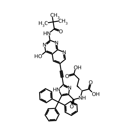 CC(C)(C)C(=O)Nc1nc(O)c2cc(C#Cc3nc(C(=O)N[C@@H](CCC(=O)O)C(=O)O)c(C(c4ccccc4)(c4ccccc4)c4ccccc4)[nH]3)cnc2n1